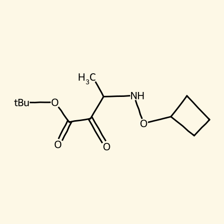 CC(NOC1CCC1)C(=O)C(=O)OC(C)(C)C